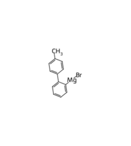 Cc1ccc(-c2cccc[c]2[Mg][Br])cc1